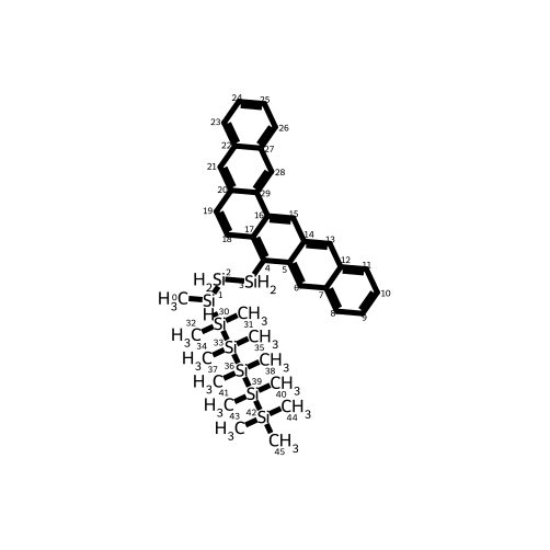 C[SiH]([SiH2][SiH2]c1c2cc3ccccc3cc2cc2c1ccc1cc3ccccc3cc12)[Si](C)(C)[Si](C)(C)[Si](C)(C)[Si](C)(C)[Si](C)(C)C